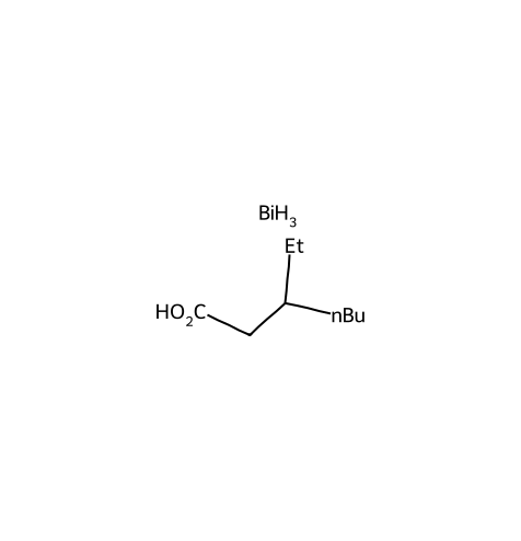 CCCCC(CC)CC(=O)O.[BiH3]